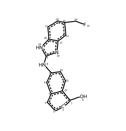 Oc1cccc2cc(Nc3nc4cc(CF)ccc4[nH]3)ccc12